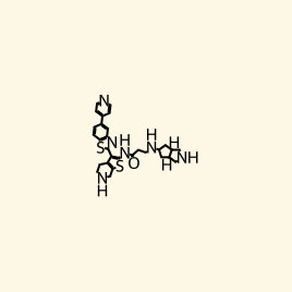 O=C(CCNC1C[C@H]2CNC[C@H]2C1)Nc1sc2c(c1-c1nc3cc(-c4ccncc4)ccc3s1)CCNC2